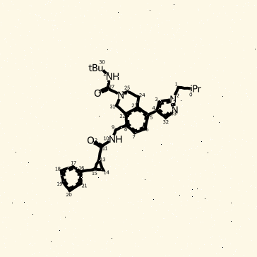 CC(C)Cn1cc(-c2ccc(CNC(=O)C3CC3c3ccccc3)c3c2CCN(C(=O)NC(C)(C)C)C3)cn1